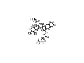 CC(C)(C)C1CCN(C(=O)CCC(=O)N2Cc3ccccc3C[C@H]2C(=O)N[C@@H](CCN)C(=O)Nc2ccc(Cl)c(Cl)c2F)C1